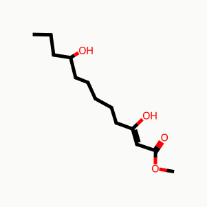 CCCC(O)CCCCCC(O)=CC(=O)OC